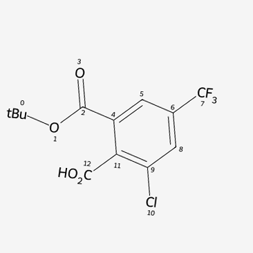 CC(C)(C)OC(=O)c1cc(C(F)(F)F)cc(Cl)c1C(=O)O